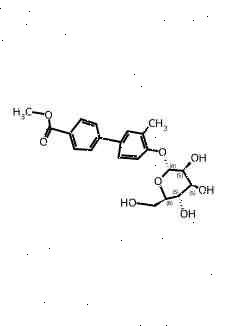 COC(=O)c1ccc(-c2ccc(O[C@H]3O[C@H](CO)[C@@H](O)[C@H](O)[C@@H]3O)c(C)c2)cc1